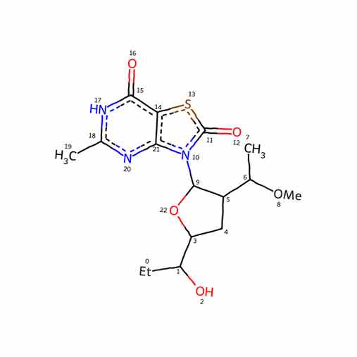 CCC(O)C1CC(C(C)OC)C(n2c(=O)sc3c(=O)[nH]c(C)nc32)O1